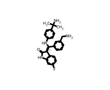 CC(C)(N)c1ccc(N/C(=C2\C(=O)Nc3cc(F)ccc32)c2cccc(CN)c2)cc1